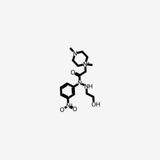 CN1CC[N+](C)(CC(=O)N(NCCO)c2cccc([N+](=O)[O-])c2)CC1